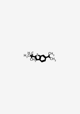 CC(C)c1ccc2cc(C(C)(C)C)sc2c1